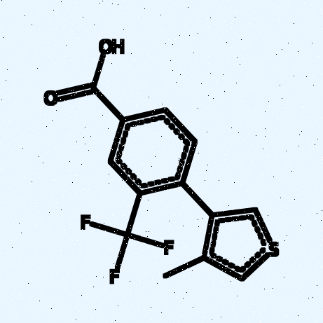 Cc1cscc1-c1ccc(C(=O)O)cc1C(F)(F)F